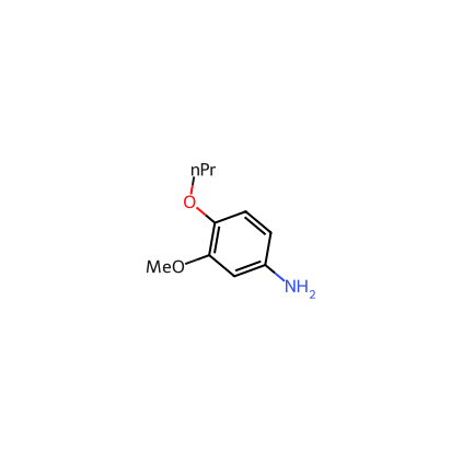 CCCOc1ccc(N)cc1OC